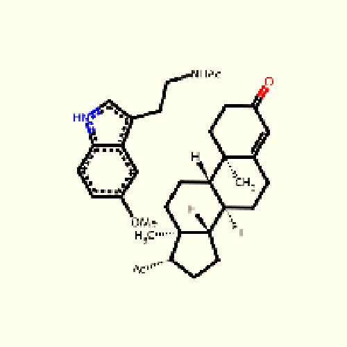 CC(=O)[C@H]1CC[C@H]2[C@@H]3CCC4=CC(=O)CC[C@]4(C)[C@H]3CC[C@]12C.COc1ccc2[nH]cc(CCNC(C)=O)c2c1